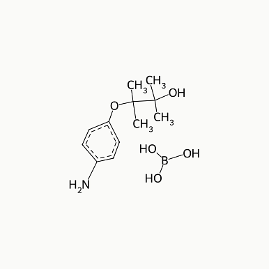 CC(C)(O)C(C)(C)Oc1ccc(N)cc1.OB(O)O